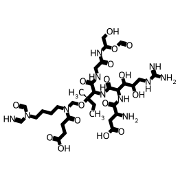 CC[C@@](C)(OCN(CCCCN(C=N)C=O)C(=O)CCC(=O)O)C(NC(=O)C(NC(=O)C(N)CC(=O)O)C(O)C(O)CNC(=N)N)C(=O)NCC(=O)NC(CO)OC=O